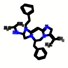 CC(C)=C1CN=C2C=C3N(CC(NC(C)C)N3CCc3ccccc3)C(Cc3ccccc3)CN21